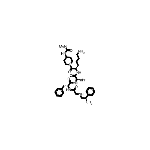 CCC[C@@H](NC(=O)[C@@H](Cc1ccccc1)NC(=O)CNC[C@H](C)c1ccccc1)C(=O)N[C@H](CCCCN)C(=O)N1CCC(NC(=O)NC)CC1